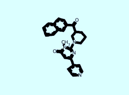 Cn1c(N2CCCC(C(=O)c3ccc4ccccc4c3)C2)nc(-c2ccncc2)cc1=O